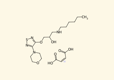 CCCCCCNCC(O)COc1nsnc1N1CCOCC1.O=C(O)/C=C\C(=O)O